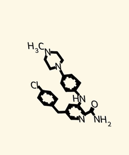 CN1CCN(c2ccc(Nc3cc(Cc4ccc(Cl)cc4)cnc3C(N)=O)cc2)CC1